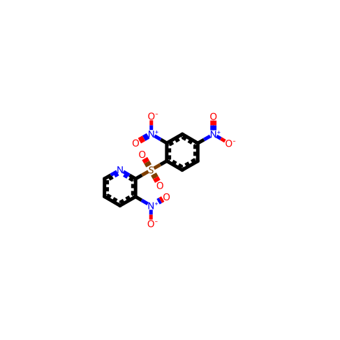 O=[N+]([O-])c1ccc(S(=O)(=O)c2ncccc2[N+](=O)[O-])c([N+](=O)[O-])c1